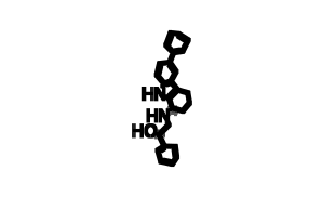 O[C@H](CN[C@H]1CCCc2c1[nH]c1ccc(-c3ccccc3)cc21)c1ccccc1